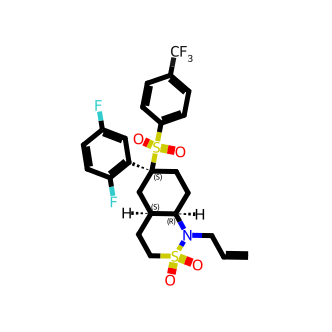 C=CCN1[C@@H]2CC[C@](c3cc(F)ccc3F)(S(=O)(=O)c3ccc(C(F)(F)F)cc3)C[C@@H]2CCS1(=O)=O